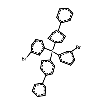 Brc1cccc(S(c2ccc(-c3ccccc3)cc2)(c2ccc(-c3ccccc3)cc2)c2cccc(Br)c2)c1